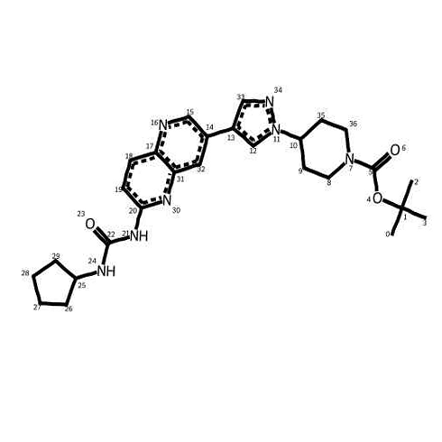 CC(C)(C)OC(=O)N1CCC(n2cc(-c3cnc4ccc(NC(=O)NC5CCCC5)nc4c3)cn2)CC1